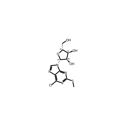 CSc1nc(Cl)c2ncn([C@@H]3O[C@H](CO)[C@@H](O)[C@H]3O)c2n1